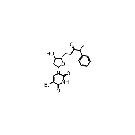 CCc1cn([C@@H]2CC(O)[C@H](CCC(=O)[C@@H](C)c3ccccc3)O2)c(=O)[nH]c1=O